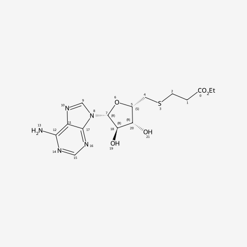 CCOC(=O)CCSC[C@H]1O[C@@H](n2cnc3c(N)ncnc32)[C@H](O)[C@H]1O